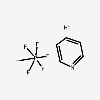 F[P-](F)(F)(F)(F)F.[H+].c1ccncc1